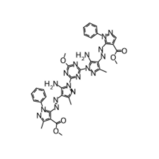 COC(=O)c1cnn(-c2ccccc2)c1/N=N/c1c(C)nn(-c2nc(OC)nc(-n3nc(C)c(/N=N/c4c(C(=O)OC)c(C)nn4-c4ccccc4)c3N)n2)c1N